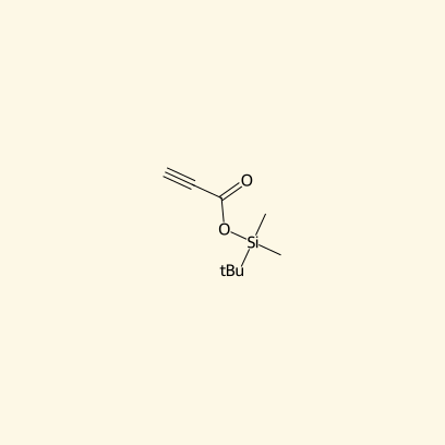 C#CC(=O)O[Si](C)(C)C(C)(C)C